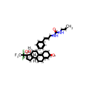 C=CCNC(=O)NCC=Cc1ccc([C@H]2C[C@@]3(C)[C@@H](CC[C@@]3(O)C(F)(F)C(F)(F)F)[C@@H]3CCC4=CC(=O)CCC4=C32)cc1